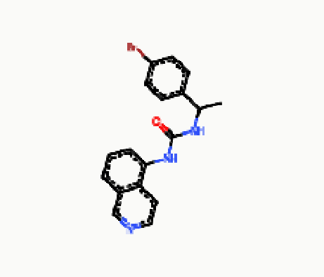 CC(NC(=O)Nc1cccc2cnccc12)c1ccc(Br)cc1